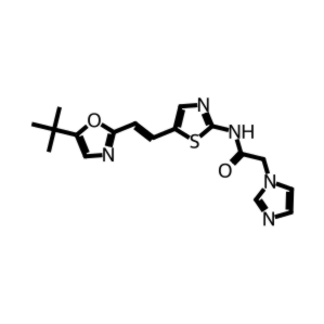 CC(C)(C)c1cnc(/C=C/c2cnc(NC(=O)Cn3ccnc3)s2)o1